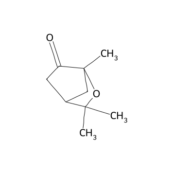 CC12CC(CC1=O)C(C)(C)O2